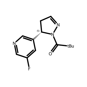 CC(C)(C)C(=O)N1N=CC[C@H]1c1cncc(F)c1